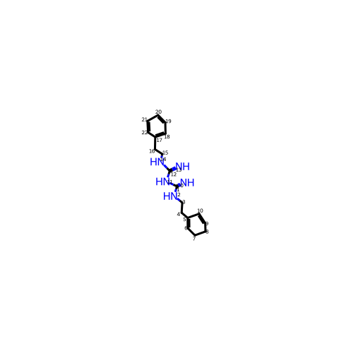 N=C(NCCC1=CCCC=C1)NC(=N)NCCc1ccccc1